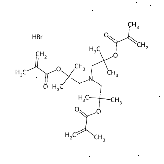 Br.C=C(C)C(=O)OC(C)(C)CN(CC(C)(C)OC(=O)C(=C)C)CC(C)(C)OC(=O)C(=C)C